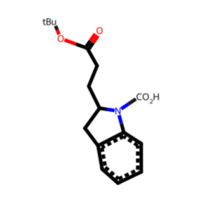 CC(C)(C)OC(=O)CCC1Cc2ccccc2N1C(=O)O